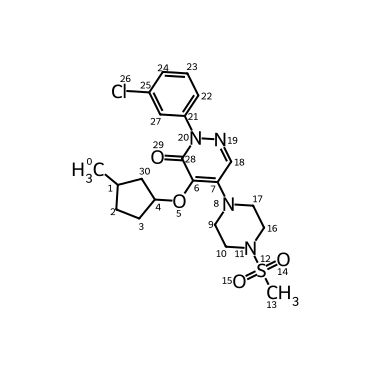 CC1CCC(Oc2c(N3CCN(S(C)(=O)=O)CC3)cnn(-c3cccc(Cl)c3)c2=O)C1